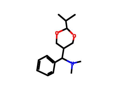 CC(C)C1OCC(C(c2ccccc2)N(C)C)CO1